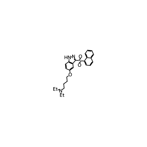 CCN(CC)CCCCOc1ccc2[nH]nc(S(=O)(=O)c3cccc4ccccc34)c2c1